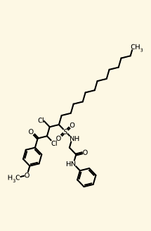 CCCCCCCCCCCCCC(C(Cl)C(Cl)C(=O)c1ccc(OC)cc1)S(=O)(=O)NCC(=O)Nc1ccccc1